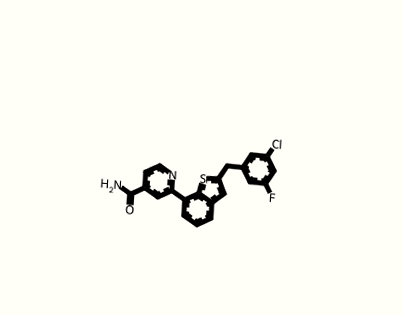 NC(=O)c1ccnc(-c2cccc3cc(Cc4cc(F)cc(Cl)c4)sc23)c1